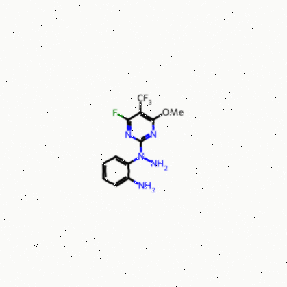 COc1nc(N(N)c2ccccc2N)nc(F)c1C(F)(F)F